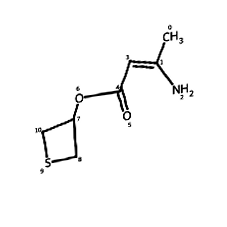 C/C(N)=C/C(=O)OC1CSC1